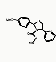 COc1ccc(C2OCC(c3ccccn3)N2C(=O)OC(C)(C)C)cc1